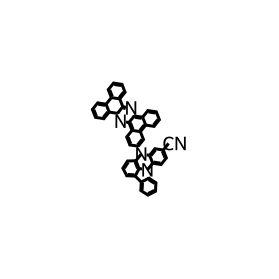 N#Cc1ccc2c(c1)N(c1ccc3c(c1)c1ccccc1c1nc4c5ccccc5c5ccccc5c4nc31)c1cccc3c4ccccc4n-2c13